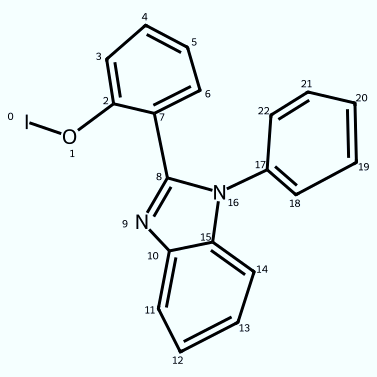 IOc1ccccc1-c1nc2ccccc2n1-c1ccccc1